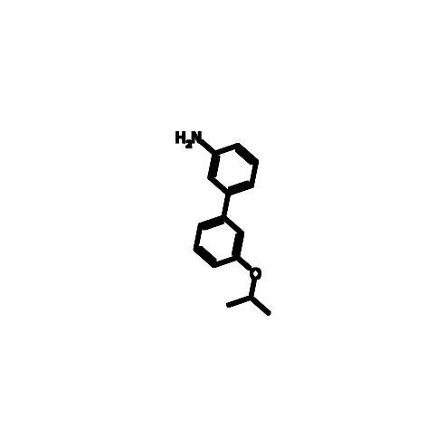 CC(C)Oc1cccc(-c2cccc(N)c2)c1